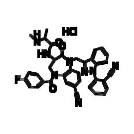 CNC(C)C(=O)NC1CN(C(=O)c2ccc(F)cc2)c2cc(C#N)ccc2N(Cc2nn(-c3ccccc3C#N)c3ccccc23)C1=O.Cl